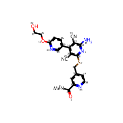 CNC(=O)c1cc(CSc2nc(N)c(C#N)c(-c3ccc(OCCO)nc3)c2C#N)ccn1